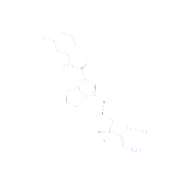 CN/C(=C\N)C1(NC(=O)C(=O)c2c(C)c(C(=O)Nc3cccc(Cl)c3)n3c2CCC3)CC1